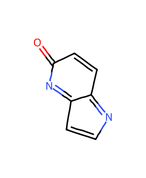 O=C1C=CC2=NC=CC2=N1